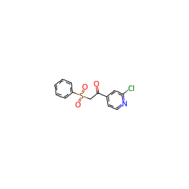 O=C(CS(=O)(=O)c1ccccc1)c1ccnc(Cl)c1